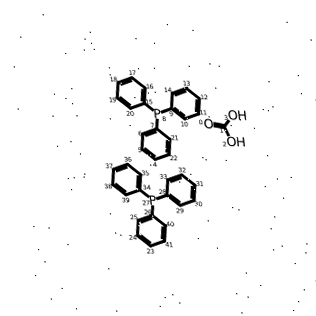 O=C(O)O.c1ccc(P(c2ccccc2)c2ccccc2)cc1.c1ccc(P(c2ccccc2)c2ccccc2)cc1